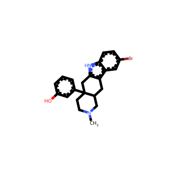 CN1CCC2(c3cccc(O)c3)Cc3[nH]c4ccc(Br)cc4c3CC2C1